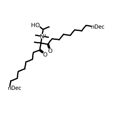 CCCCCCCCCCCCCCCCCC(=O)C(C)(C(=O)CCCCCCCCCCCCCCCCC)[N+](C)(C)C(C)O